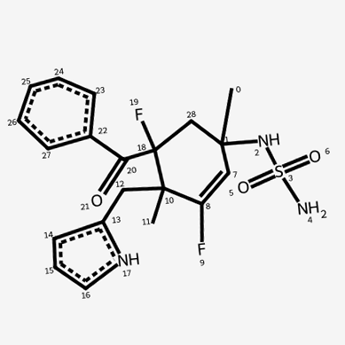 CC1(NS(N)(=O)=O)C=C(F)C(C)(Cc2ccc[nH]2)C(F)(C(=O)c2ccccc2)C1